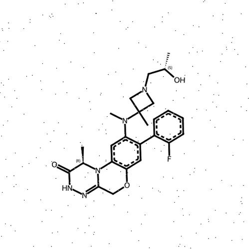 C[C@H](O)CN1CC(C)(N(C)c2cc3c(cc2-c2ccccc2F)OCC2=NNC(=O)[C@@H](C)N23)C1